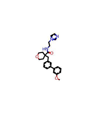 COc1cccc(-c2cccc(CC3(C(=O)NCCn4ccnc4)CCOCC3)c2)c1